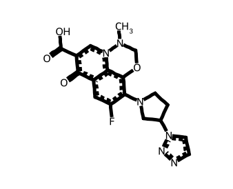 CN1COc2c(N3CCC(n4ccnn4)C3)c(F)cc3c(=O)c(C(=O)O)cn1c23